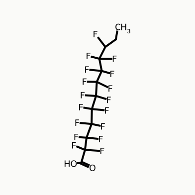 CCC(F)C(F)(F)C(F)(F)C(F)(F)C(F)(F)C(F)(F)C(F)(F)C(F)(F)C(F)(F)C(=O)O